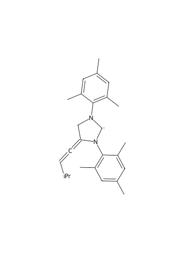 Cc1cc(C)c(N2[C]N(c3c(C)cc(C)cc3C)C(=C=CC(C)C)C2)c(C)c1